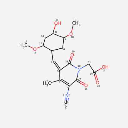 [C-]#[N+]C1=C(C)/C(=C/C2CC(OC)C(O)CC2OC)C(=O)N(CC(=O)O)C1=O